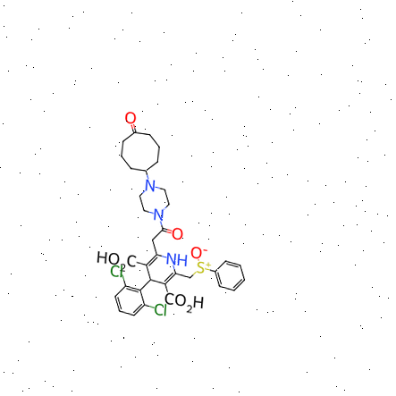 O=C1CCCC(N2CCN(C(=O)CC3=C(C(=O)O)C(c4c(Cl)cccc4Cl)C(C(=O)O)=C(C[S+]([O-])c4ccccc4)N3)CC2)CCC1